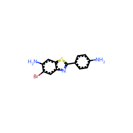 Nc1ccc(-c2nc3cc(Br)c(N)cc3s2)cc1